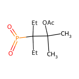 CCC(CC)(P(=O)=O)C(C)(C)OC(C)=O